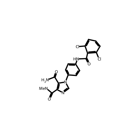 CNC(=O)c1ncn(-c2ccc(NC(=O)c3c(Cl)cccc3Cl)cc2)c1C(N)=O